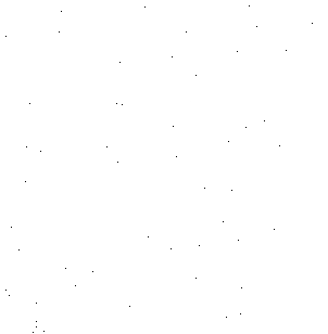 CC(C)c1cccc(-c2cc(C(C)C)cc(C(C)C)c2)c1